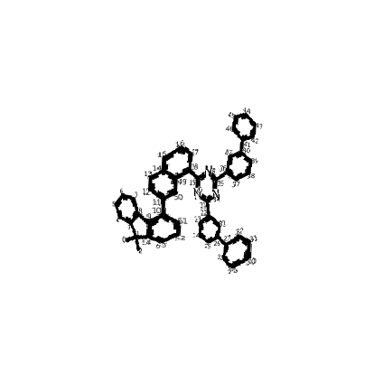 CC1(C)c2ccccc2-c2c(-c3ccc4cccc(-c5nc(-c6cccc(-c7ccccc7)c6)nc(-c6cccc(-c7ccccc7)c6)n5)c4c3)cccc21